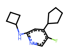 Fc1cnc(NC2CCC2)cc1C1CCCC1